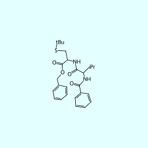 CC(C)C(NC(=O)c1ccccc1)C(=O)NC(CSC(C)(C)C)C(=O)OCc1ccccc1